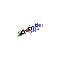 O=C1NCCC1NCc1ccc(OCc2ccc(C(F)(F)F)cc2)c(Br)c1